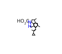 C=Cc1c(/C=C(\C)C2CC2)c(C)cc2c1C(NC(=O)O)CC2C